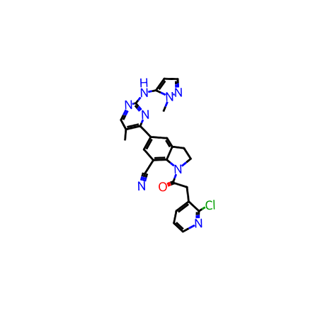 Cc1cnc(Nc2ccnn2C)nc1-c1cc(C#N)c2c(c1)CCN2C(=O)Cc1cccnc1Cl